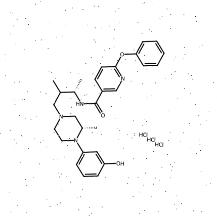 CC(CN1CCN(c2cccc(O)c2)[C@@H](C)C1)[C@H](C)NC(=O)c1ccc(Oc2ccccc2)nc1.Cl.Cl.Cl